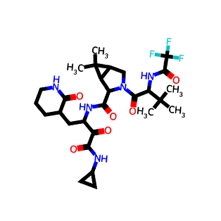 CC(C)(C)C(NC(=O)C(F)(F)F)C(=O)N1CC2C(C1C(=O)NC(CC1CCCNC1=O)C(=O)C(=O)NC1CC1)C2(C)C